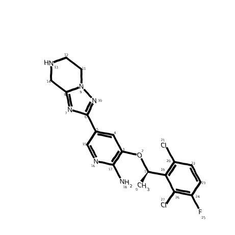 C[C@@H](Oc1cc(-c2nc3n(n2)CCNC3)cnc1N)c1c(Cl)ccc(F)c1Cl